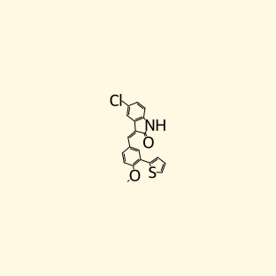 COc1ccc(C=C2C(=O)Nc3ccc(Cl)cc32)cc1-c1cccs1